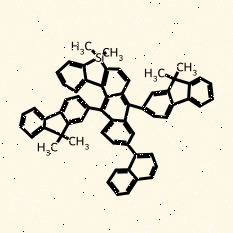 CC1(C)c2ccccc2-c2ccc(-c3c4cc(-c5cccc6ccccc56)ccc4c(-c4ccc5c(c4)C(C)(C)c4ccccc4-5)c4c5c(ccc34)[Si](C)(C)c3ccccc3-5)cc21